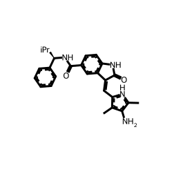 Cc1[nH]c(/C=C2\C(=O)Nc3ccc(C(=O)N[C@@H](c4ccccc4)C(C)C)cc32)c(C)c1N